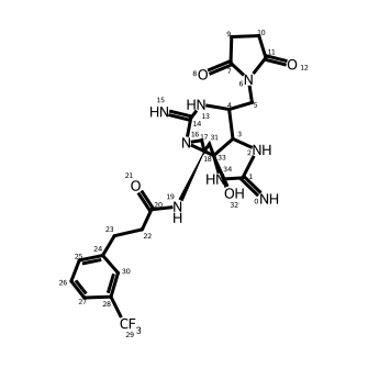 N=C1NC2C(CN3C(=O)CCC3=O)NC(=N)N3C[C@H](NC(=O)CCc4cccc(C(F)(F)F)c4)[C@@H](O)C23N1